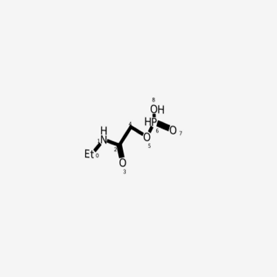 CCNC(=O)CO[PH](=O)O